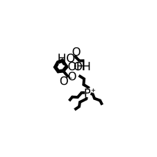 CC(O)C(=O)O.CCCC[P+](CCCC)(CCCC)CCCC.O=C([O-])c1ccccc1O